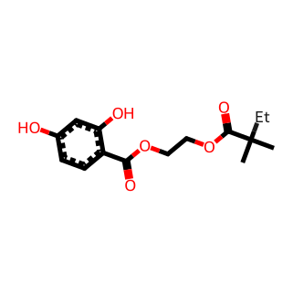 CCC(C)(C)C(=O)OCCOC(=O)c1ccc(O)cc1O